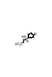 CCc1ccc(P(=O)(O)CCC(=O)O)cc1